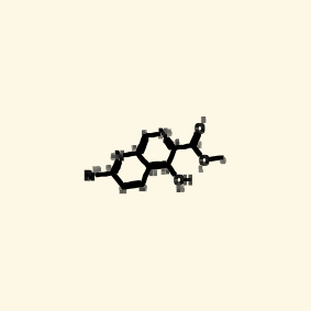 COC(=O)c1ncc2nc(Br)ccc2c1O